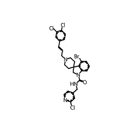 O=C(NCc1ccnc(Cl)c1)N1CC2(CCN(CC=Cc3ccc(Cl)c(Cl)c3)CC2)c2c(Br)cccc21